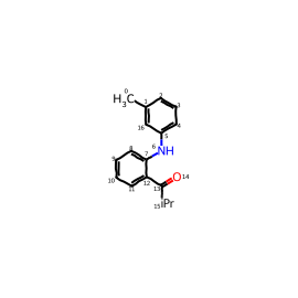 Cc1cccc(Nc2ccccc2C(=O)C(C)C)c1